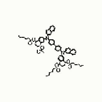 CCCCCC(=O)OC1CCC(OC(C)=O)c2cc(N(c3ccc(-c4ccc(N(c5ccc6c(c5)C(OC(=O)CCCCC)CCC6OC(=O)CCCCC)c5ccc6ccccc6c5)cc4)cc3)c3ccc4ccccc4c3)ccc21